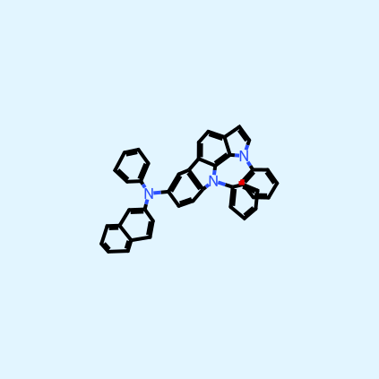 c1ccc(N(c2ccc3ccccc3c2)c2ccc3c(c2)c2ccc4ccn(-c5ccccc5)c4c2n3-c2ccccc2)cc1